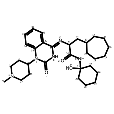 CN1CCC(n2c(=O)[nH]/c(=N\C(CC3CCCCCC3)C(=O)NC3(C#N)CCCCC3)c3ccccc32)CC1